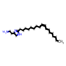 CCCCCCCC/C=C\CCCCCCCCC1=NC(CCN)CN1